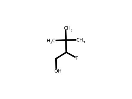 CC(C)(C)C(F)CO